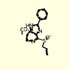 C=CC[S+]([O-])c1nccc2[nH]c(-c3ccccc3)nc12.CC(=O)O